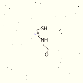 O=CCN/C=C\S